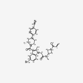 C=CC(=O)N1CC(N(C)C(=O)Cn2c(C)c(C(=O)N3CCN(c4ccc(C#N)cn4)C[C@H]3C)c3cc(Br)ccc32)C1